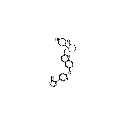 O=C1CCCC[N+]1(Cc1ccc2cc(Oc3ccc(-c4ccn[nH]4)cn3)ccc2n1)C1CCNCC1